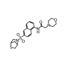 O=C(CN1CCOCC1)Nc1cccc2cc(S(=O)(=O)N3CC4CC3CS4)ccc12